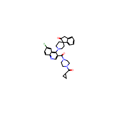 O=C(c1cnc2ccc(F)cc2c1N1CCC2(CC1)C(=O)Cc1ccccc12)N1CCN(C(=O)C2CC2)CC1